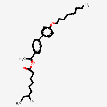 CCCCCCCCOc1ccc(-c2ccc(C(C)OC(=O)CCCCCC(C)CC)cc2)cc1